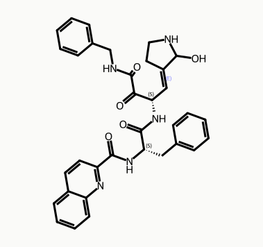 O=C(NCc1ccccc1)C(=O)[C@H](/C=C1\CCNC1O)NC(=O)[C@H](Cc1ccccc1)NC(=O)c1ccc2ccccc2n1